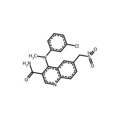 CN(c1cccc(Cl)c1)c1c(C(N)=O)cnc2ccc(C[SH](=O)=O)cc12